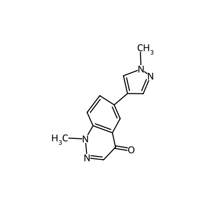 Cn1cc(-c2ccc3c(c2)c(=O)cnn3C)cn1